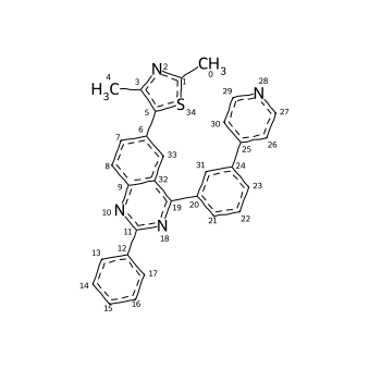 Cc1nc(C)c(-c2ccc3nc(-c4ccccc4)nc(-c4cccc(-c5ccncc5)c4)c3c2)s1